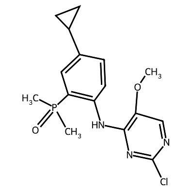 COc1cnc(Cl)nc1Nc1ccc(C2CC2)cc1P(C)(C)=O